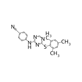 Cc1cc(C)c(Sc2ncnc(Nc3ccc(C#N)cc3)n2)c(C)c1